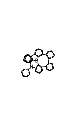 c1ccc(-c2cccc3c2B2c4ccccc4N(c4ccccc4)c4cccc(c42)-c2ccccc2-c2ccccc2-3)cc1